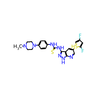 CN1CCN(c2ccc(NC(=S)Nc3n[nH]c4ncc([SH]5C=C(F)C=C5F)cc34)cc2)CC1